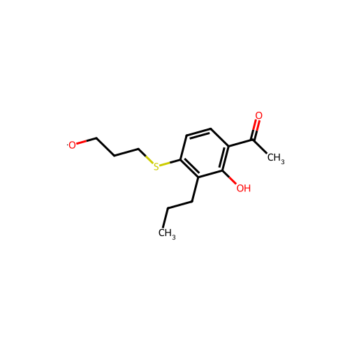 CCCc1c(SCCC[O])ccc(C(C)=O)c1O